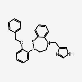 c1ccc(COc2ccccc2N2CCN(Cc3c[nH]cn3)c3ccccc3S2)cc1